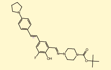 CC(C)(C)OC(=O)N1CCN(N=Cc2cc(/C=C/c3ccc(N4CCCC4)cc3)cc(F)c2O)CC1